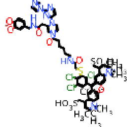 CN1c2cc3c(cc2C(CS(=O)(=O)O)=CC1(C)C)C(c1c(Cl)c(SCC(=O)NCCCCCC(=O)N2CCN(c4ccnc(-n5ccnc5)n4)C(CC(=O)NCc4ccc5c(c4)OCO5)C2)c(Cl)c(Cl)c1C(=O)[O-])=c1cc2c(cc1O3)=[N+](C)C(C)(C)C=C2CS(=O)(=O)O